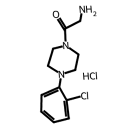 Cl.NCC(=O)N1CCN(c2ccccc2Cl)CC1